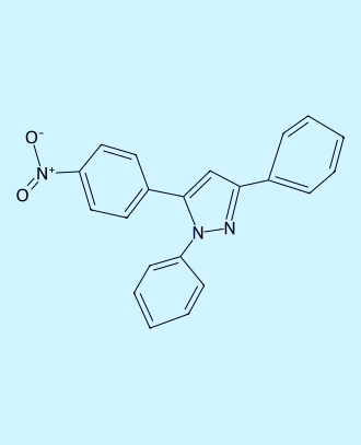 O=[N+]([O-])c1ccc(-c2cc(-c3ccccc3)nn2-c2ccccc2)cc1